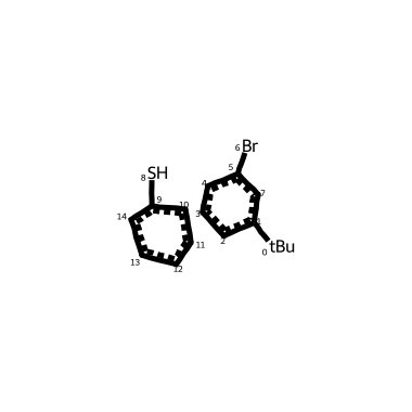 CC(C)(C)c1cccc(Br)c1.Sc1ccccc1